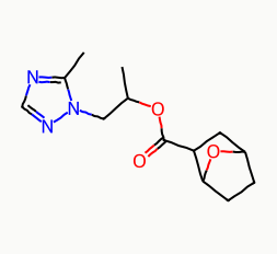 Cc1ncnn1CC(C)OC(=O)C1CC2CCC1O2